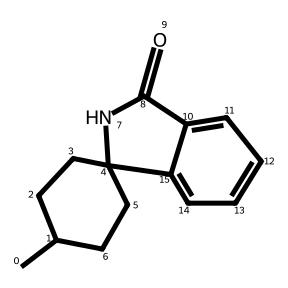 CC1CCC2(CC1)NC(=O)c1ccccc12